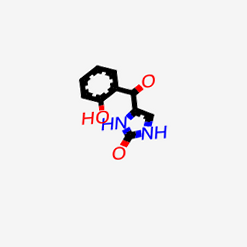 O=C(c1c[nH]c(=O)[nH]1)c1ccccc1O